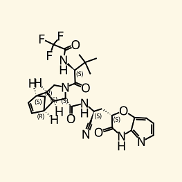 CC(C)(C)[C@H](NC(=O)C(F)(F)F)C(=O)N1C[C@H]2[C@@H]([C@H]1C(=O)N[C@H](C#N)C[C@@H]1Oc3cccnc3NC1=O)[C@H]1C=C[C@@H]2C1